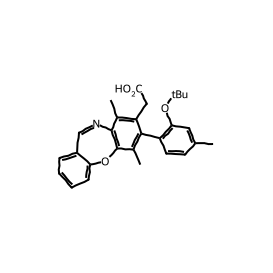 Cc1ccc(-c2c(C)c3c(c(C)c2CC(=O)O)N=Cc2ccccc2O3)c(OC(C)(C)C)c1